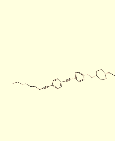 CCCCCCCC#Cc1ccc(C#Cc2ccc(CC[C@H]3CC[C@H](CCC)CC3)cc2)cc1